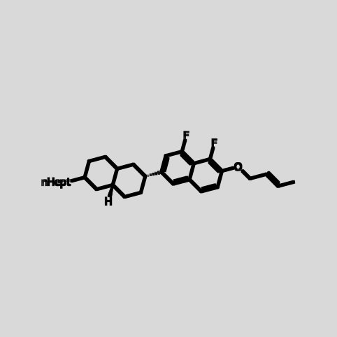 C/C=C/COc1ccc2cc([C@@H]3CC[C@@H]4CC(CCCCCCC)CCC4C3)cc(F)c2c1F